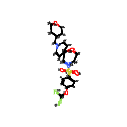 O=S(=O)(c1ccc(OC(F)F)cc1)N1CCOC2(CCN(CC3CCOCC3)CC2)C1